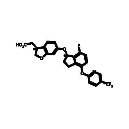 O=C(O)C[C@@H]1COc2cc(O[C@@H]3CCc4c(Oc5ccc(C(F)(F)F)cn5)ccc(F)c43)ccc21